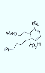 CCCCC1=CC=CC(CCCCC(C)C)(C(=O)O)C1CCOC